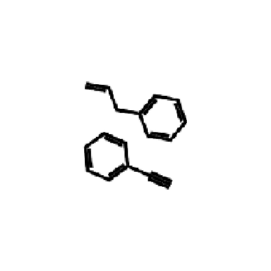 C#Cc1ccccc1.C=CCc1ccccc1